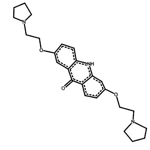 O=c1c2ccc(OCCN3CCCC3)cc2[nH]c2ccc(OCCN3CCCC3)cc12